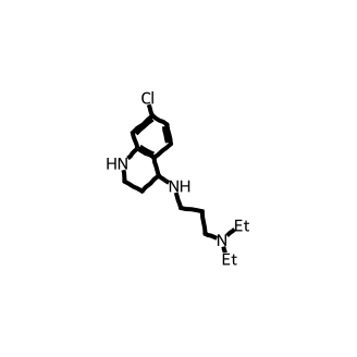 CCN(CC)CCCNC1CCNc2cc(Cl)ccc21